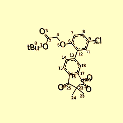 CC(C)(C)OC(=O)COc1ccc(Cl)cc1-c1ccc2c(c1)S(=O)(=O)C(C)(C)C2=O